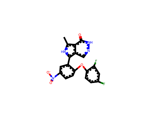 Cc1[nH]c(-c2cc([N+](=O)[O-])ccc2Oc2ccc(F)cc2F)c2cn[nH]c(=O)c12